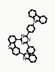 c1ccc(-c2nc(-c3ccc(-n4c5ccccc5c5ccccc54)cc3)nc(-c3cccc4sc5ccc(-c6nc7ccccc7s6)cc5c34)n2)cc1